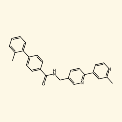 Cc1cc(-c2ccc(CNC(=O)c3ccc(-c4ccccc4C)cc3)cn2)ccn1